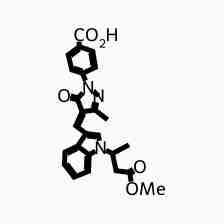 COC(=O)CC(C)n1cc(C=C2C(=O)N(c3ccc(C(=O)O)cc3)N=C2C)c2ccccc21